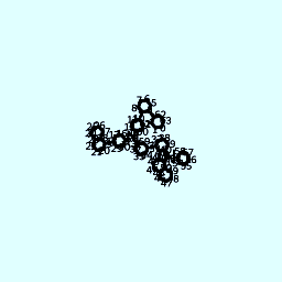 c1ccc(-c2ccccc2-c2ccc(N(c3ccc(-c4cccc5ccccc45)cc3)c3cccc(-c4cccc5c4c4ccc6ccccc6c4n5-c4ccccc4)c3)cc2)cc1